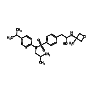 CC(C)CN(c1ccc(C(C)C)cn1)S(=O)(=O)c1ccc(CC(O)NC2(C)COC2)cc1